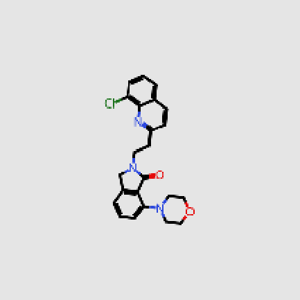 O=C1c2c(cccc2N2CCOCC2)CN1CCc1ccc2cccc(Cl)c2n1